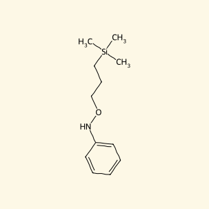 C[Si](C)(C)CCCONc1ccccc1